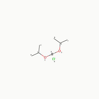 CC(C)O[B+]OC(C)C.[Cl-]